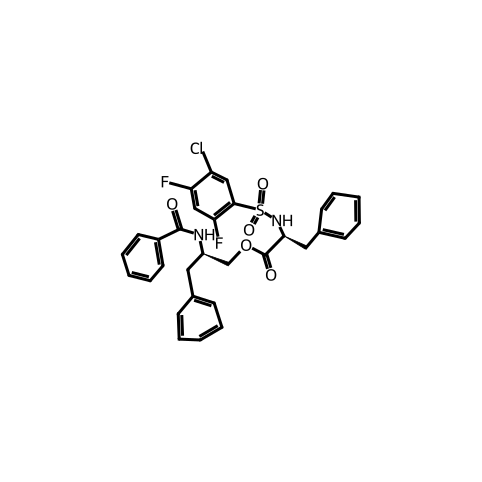 O=C(N[C@@H](COC(=O)[C@H](Cc1ccccc1)NS(=O)(=O)c1cc(Cl)c(F)cc1F)Cc1ccccc1)c1ccccc1